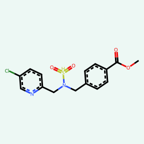 COC(=O)c1ccc(CN(Cc2ccc(Cl)cn2)[SH](=O)=O)cc1